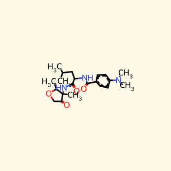 CC(C)CC(NC(=O)c1ccc(N(C)C)cc1)C(=O)NC1(C)C(=O)COC1C